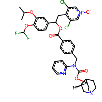 CC(C)Oc1cc(C(Cc2c(Cl)c[n+]([O-])cc2Cl)OC(=O)c2ccc(CN(C(=O)O[C@H]3CN4CCC3CC4)c3ccccn3)cc2)ccc1OC(F)F